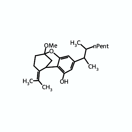 CCCCCC(C)C(C)c1cc(O)c2c(c1)OC1(OC)CCC(=C(C)C)C2C1